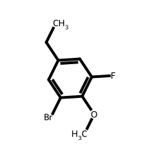 CCc1cc(F)c(OC)c(Br)c1